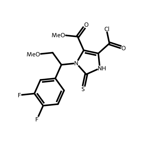 COCC(c1ccc(F)c(F)c1)n1c(C(=O)OC)c(C(=O)Cl)[nH]c1=S